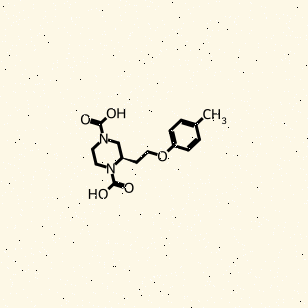 Cc1ccc(OCC[C@@H]2CN(C(=O)O)CCN2C(=O)O)cc1